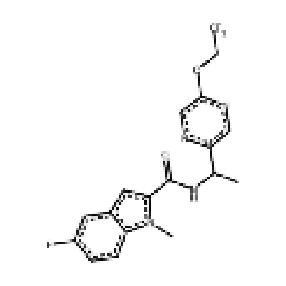 CC(NC(=O)c1cc2cc(F)ccc2n1C)c1cnc(OCC(F)(F)F)cn1